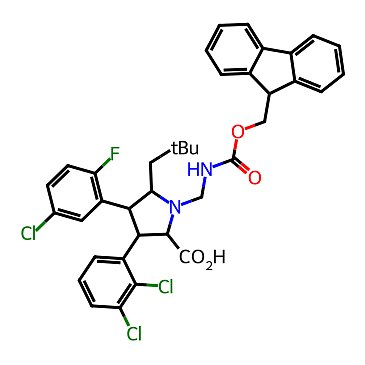 CC(C)(C)CC1C(c2cc(Cl)ccc2F)C(c2cccc(Cl)c2Cl)C(C(=O)O)N1CNC(=O)OCC1c2ccccc2-c2ccccc21